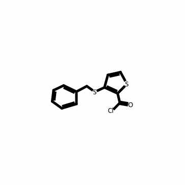 O=C(Cl)c1sccc1SCc1ccccc1